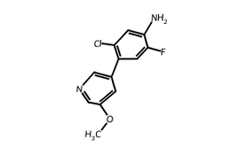 COc1cncc(-c2cc(F)c(N)cc2Cl)c1